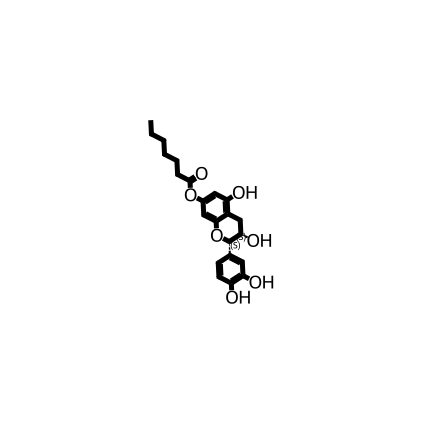 CCCCCCC(=O)Oc1cc(O)c2c(c1)O[C@@H](c1ccc(O)c(O)c1)[C@@H](O)C2